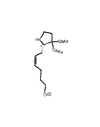 COC1(OC)CCN[C@H]1C/C=C\CCCC=O